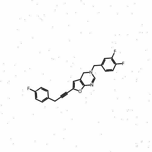 Fc1ccc(CC#Cc2cc3c(o2)N=CN(Cc2ccc(F)c(F)c2)C3)cc1